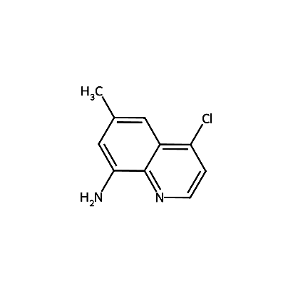 Cc1cc(N)c2nccc(Cl)c2c1